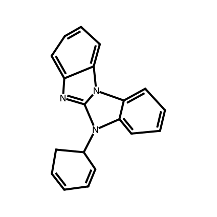 C1=CCC(n2c3ccccc3n3c4ccccc4nc23)C=C1